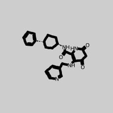 O=C1CC(=O)C(NCc2cccnc2)=C(C(=O)N[C@H]2CC[C@@H](c3ccccc3)CC2)N1